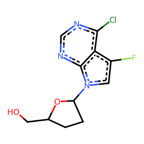 OCC1CCC(n2cc(F)c3c(Cl)ncnc32)O1